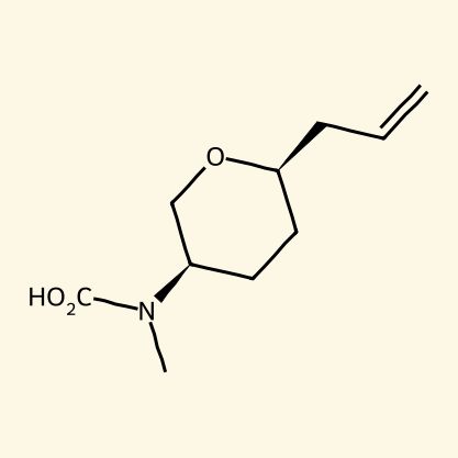 C=CC[C@H]1CC[C@@H](N(C)C(=O)O)CO1